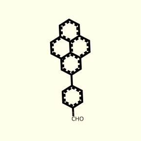 O=Cc1ccc(-c2cc3ccc4cccc5ccc(c2)c3c45)cc1